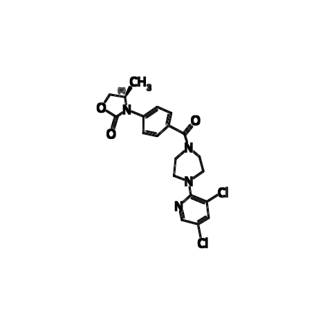 C[C@@H]1COC(=O)N1c1ccc(C(=O)N2CCN(c3ncc(Cl)cc3Cl)CC2)cc1